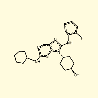 O[C@H]1CC[C@H](n2c(Nc3ccccc3F)nc3cnc(NC4CCCCC4)nc32)CC1